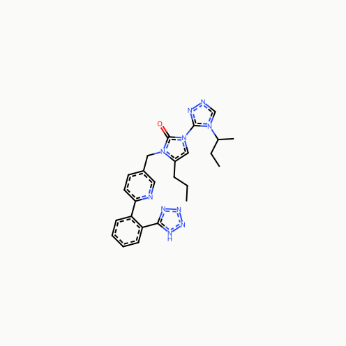 CCCc1cn(-c2nncn2C(C)CC)c(=O)n1Cc1ccc(-c2ccccc2-c2nnn[nH]2)nc1